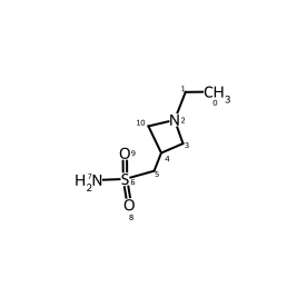 CCN1CC(CS(N)(=O)=O)C1